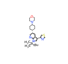 CC(C)(C)[Si](C)(C)n1cc(-c2cscn2)c2cc([C@H]3CC[C@H](N4CCOCC4)CC3)cnc21